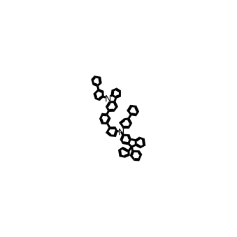 c1ccc(-c2ccc(N(c3cccc(-c4cccc(-c5ccc6c7ccccc7n(-c7cccc(-c8ccccc8)c7)c6c5)c4)c3)c3ccc4c(c3)-c3ccccc3C4(c3ccccc3)c3ccccc3)cc2)cc1